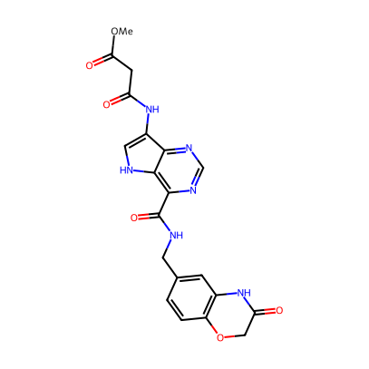 COC(=O)CC(=O)Nc1c[nH]c2c(C(=O)NCc3ccc4c(c3)NC(=O)CO4)ncnc12